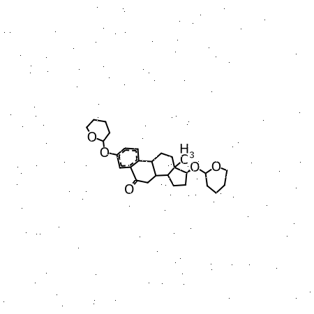 CC12CCC3c4ccc(OC5CCCCO5)cc4C(=O)CC3C1CC[C@@H]2OC1CCCCO1